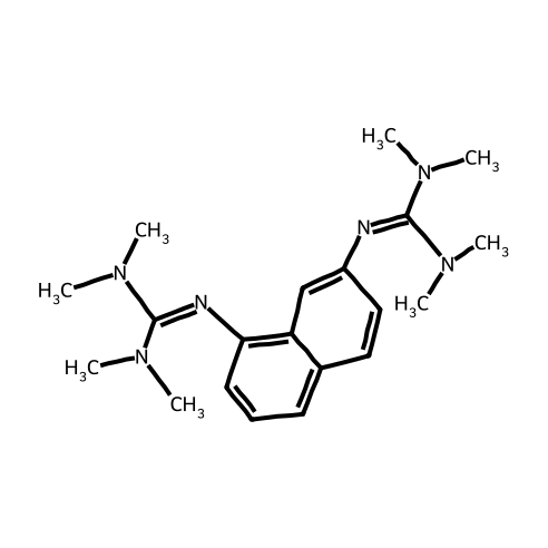 CN(C)C(=Nc1ccc2cccc(N=C(N(C)C)N(C)C)c2c1)N(C)C